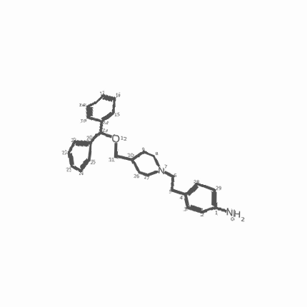 Nc1ccc(CCN2CCC(COC(c3ccccc3)c3ccccc3)CC2)cc1